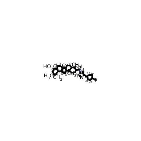 CC1(C)CC[C@]2(C(=O)O)CC[C@]3(C)C(=CCC4[C@@]5(C)CCC(/C=[N+]6/C=C(c7ccc(F)cc7)N=N6)C(C)(C)C5CC[C@]43C)C2C1